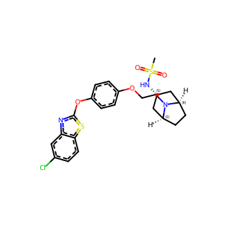 CS(=O)(=O)N[C@@H]1C[C@H]2CC[C@@H](C1)N2CCOc1ccc(Oc2nc3cc(Cl)ccc3s2)cc1